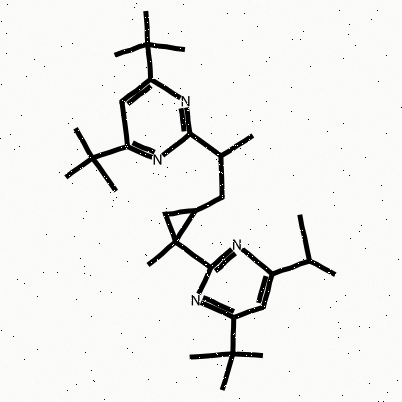 CC(C)c1cc(C(C)(C)C)nc(C2(C)CC2CC(C)c2nc(C(C)(C)C)cc(C(C)(C)C)n2)n1